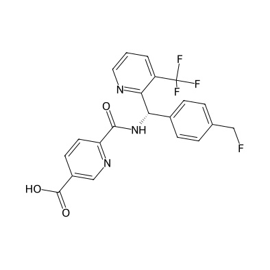 O=C(O)c1ccc(C(=O)N[C@@H](c2ccc(CF)cc2)c2ncccc2C(F)(F)F)nc1